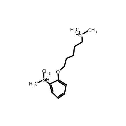 C[SiH](C)CCCCCOc1ccccc1[SiH](C)C